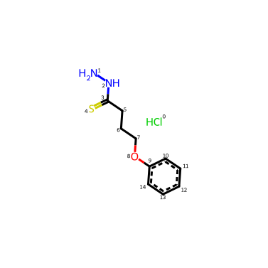 Cl.NNC(=S)CCCOc1ccccc1